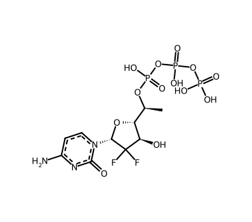 C[C@H](OP(=O)(O)OP(=O)(O)OP(=O)(O)O)[C@H]1O[C@@H](n2ccc(N)nc2=O)C(F)(F)[C@@H]1O